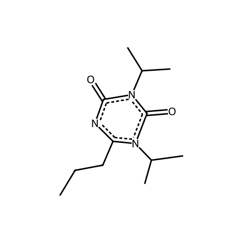 CCCc1nc(=O)n(C(C)C)c(=O)n1C(C)C